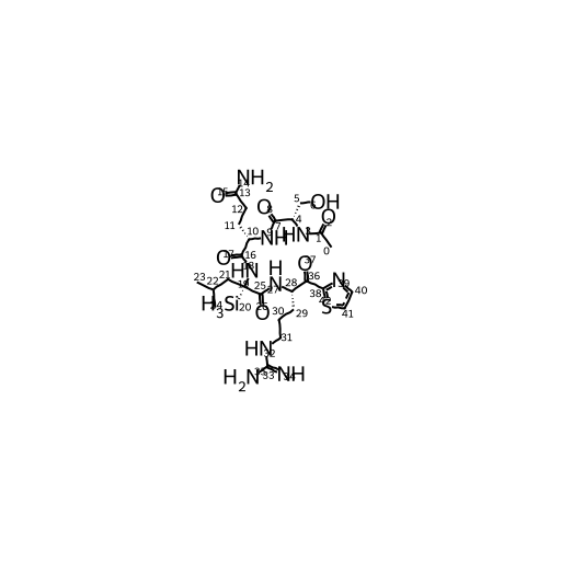 CC(=O)N[C@@H](CO)C(=O)N[C@@H](CCC(N)=O)C(=O)N[C@]([SiH3])(CC(C)C)C(=O)N[C@@H](CCCNC(=N)N)C(=O)c1nccs1